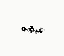 NCC1(c2nnc([C@@H]3CC4(CC4)[C@H]4CN3C(=O)N4OCc3ccccc3)o2)CC1